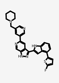 Fc1ccc(-c2cccc3[nH]c(-c4n[nH]c5cnc(-c6cncc(CN7CCCCC7)c6)cc45)cc23)s1